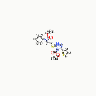 CC(C)(C)OC(=O)N(CCSc1nnc(-c2cccs2)n1C(=O)OC(C)(C)C)c1ccccc1